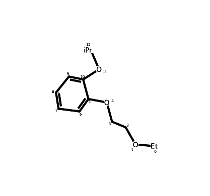 CCOCCOc1cc[c]cc1OC(C)C